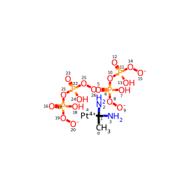 C[C](N)(N)[Pt+4].O=P(O)(O[O-])OP(=O)(O)O[O-].O=P(O)(O[O-])OP(=O)(O)O[O-]